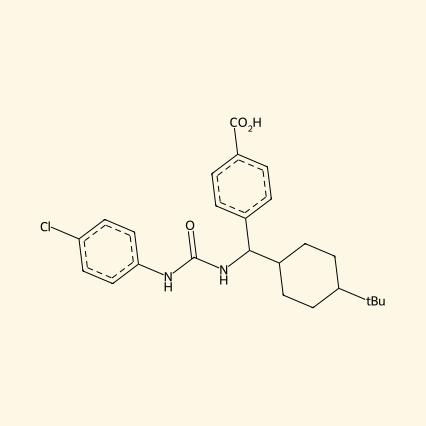 CC(C)(C)C1CCC(C(NC(=O)Nc2ccc(Cl)cc2)c2ccc(C(=O)O)cc2)CC1